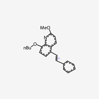 CCCCOc1ccc(/C=C/c2ccccc2)c2ccc(OC)nc12